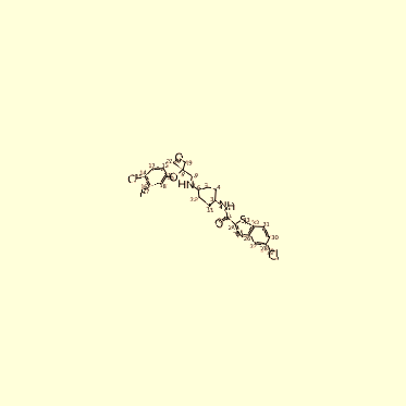 O=C(NC1CCC(NCC2(Oc3ccc(Cl)c(F)c3)COC2)CC1)c1nc2cc(Cl)ccc2s1